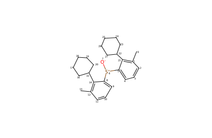 Cc1cccc([S+]([O-])c2cccc(C)c2C2CCCCC2)c1C1CCCCC1